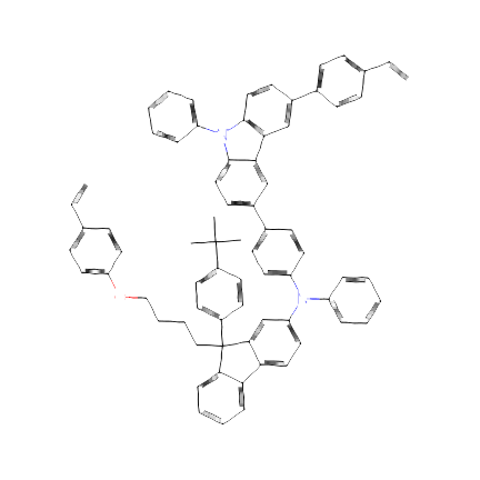 C=Cc1ccc(OCCCCC2(c3ccc(C(C)(C)C)cc3)c3ccccc3-c3ccc(N(c4ccccc4)c4ccc(-c5ccc6c(c5)c5cc(-c7ccc(C=C)cc7)ccc5n6-c5ccccc5)cc4)cc32)cc1